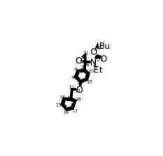 CCN(C(=O)OC(C)(C)C)C1(c2ccc(OCc3ccccc3)cc2)CO1